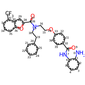 Nc1ccccc1NC(=O)c1ccc(OCCN(CCc2ccccc2)C(=O)c2cc3c(C(F)(F)F)cccc3o2)cc1